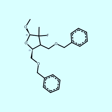 CO[C@@H]1O[C@H](COCc2ccccc2)C(COCc2ccccc2)C1(C)F